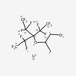 CC(C[O-])OC(C(F)(F)C(F)(F)F)(C(F)(F)C(F)(F)F)C(F)(F)C(F)(F)F.[Li+]